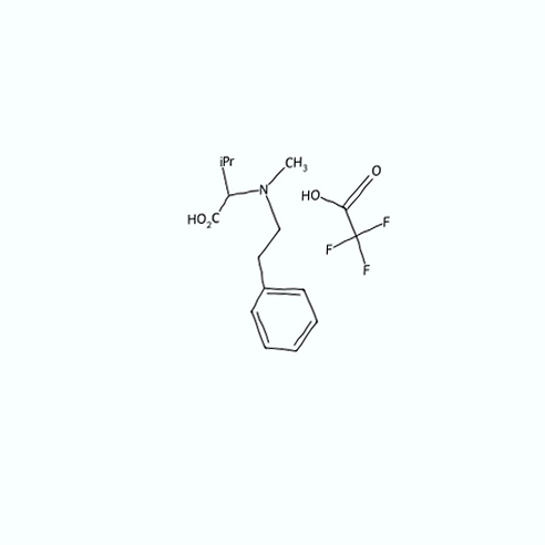 CC(C)C(C(=O)O)N(C)CCc1ccccc1.O=C(O)C(F)(F)F